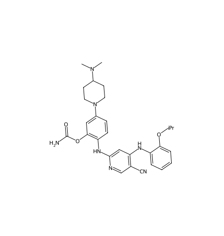 CC(C)Oc1ccccc1Nc1cc(Nc2ccc(N3CCC(N(C)C)CC3)cc2OC(N)=O)ncc1C#N